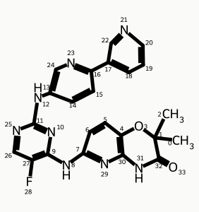 CC1(C)Oc2ccc(Nc3nc(Nc4ccc(-c5cccnc5)nc4)ncc3F)nc2NC1=O